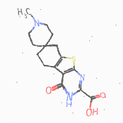 CN1CCC2(CCc3c(sc4nc(C(=O)O)[nH]c(=O)c34)C2)CC1